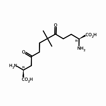 CC(C)(CCC(=O)C[C@H](N)C(=O)O)C(=O)CC[C@H](N)C(=O)O